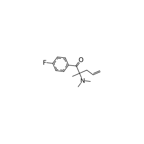 C=CCC(C)(C(=O)c1ccc(F)cc1)N(C)C